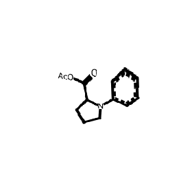 CC(=O)OC(=O)C1CCCN1c1ccccc1